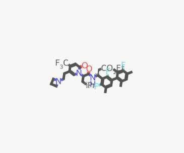 CCOC(=O)C[C@H](NC(=O)C(CC(C)C)n1cc(CCN2CCC2)c(C(F)(F)F)cc1=O)c1c(F)c(C)cc(-c2c(C)cc(C)c(F)c2C)c1F